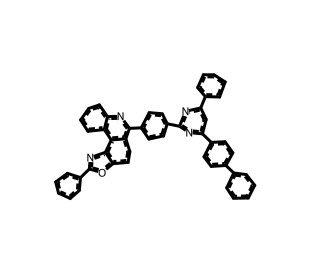 c1ccc(-c2ccc(-c3cc(-c4ccccc4)nc(-c4ccc(-c5nc6ccccc6c6c5ccc5oc(-c7ccccc7)nc56)cc4)n3)cc2)cc1